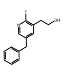 OCCc1cc(Cc2ccccc2)cnc1F